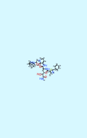 CNC(=O)C(O)CC[C@H](NC(=O)c1sc(-c2ccccc2)nc1C)C(=O)Nc1cccn(CC(=O)NC2C3CC4CC(C3)C2C4)c1=O